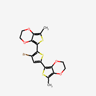 Cc1sc(-c2cc(Br)c(-c3sc(C)c4c3OCCO4)s2)c2c1OCCO2